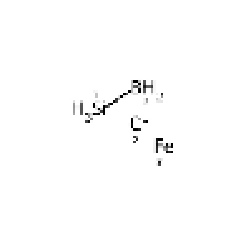 B[SiH3].[Cr].[Fe]